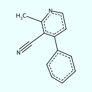 Cc1nccc(-c2ccccc2)c1C#N